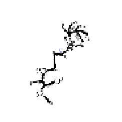 COC(=O)C(C)OC/C=C/B1OC(C)(C)C(C)(C)O1